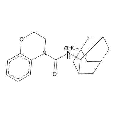 O=CC12CC3CC(C1)C(NC(=O)N1CCOc4ccccc41)C(C3)C2